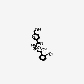 CCOc1ccccc1C(O)CS(=O)(=O)NC(=O)c1ccc(CO)nc1